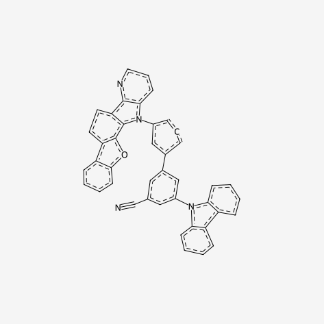 N#Cc1cc(-c2cccc(-n3c4cccnc4c4ccc5c6ccccc6oc5c43)c2)cc(-n2c3ccccc3c3ccccc32)c1